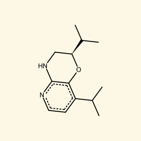 CC(C)c1ccnc2c1O[C@H](C(C)C)CN2